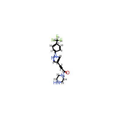 O=C(C#Cc1cnn(-c2ccc(C(F)(F)F)cc2)c1)N1CCNCC1